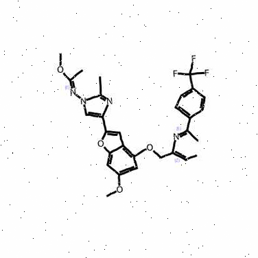 C/C=C(COc1cc(OC)cc2oc(-c3cn(/N=C(\C)OC)c(C)n3)cc12)\N=C(/C)c1ccc(C(F)(F)F)cc1